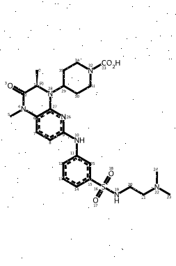 C[C@@H]1C(=O)N(C)c2ccc(Nc3cccc(S(=O)(=O)NCCN(C)C)c3)nc2N1C1CCN(C(=O)O)CC1